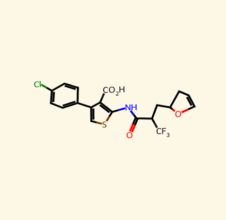 O=C(O)c1c(-c2ccc(Cl)cc2)csc1NC(=O)C(CC1CC=CO1)C(F)(F)F